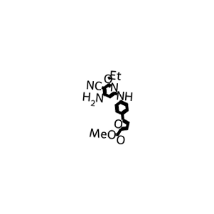 CCOc1nc(Nc2ccc(-c3ccc(C(=O)OC)o3)cc2)cc(N)c1C#N